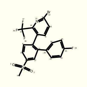 CS(=O)(=O)c1ccc(-c2ccc(Br)nc2C(F)(F)F)c(-c2ccc(F)cc2)c1